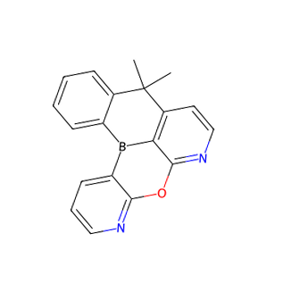 CC1(C)c2ccccc2B2c3cccnc3Oc3nccc1c32